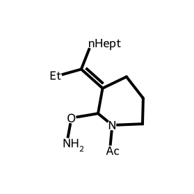 CCCCCCCC(CC)=C1CCCN(C(C)=O)C1ON